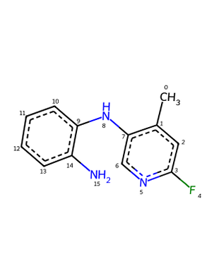 Cc1cc(F)ncc1Nc1ccccc1N